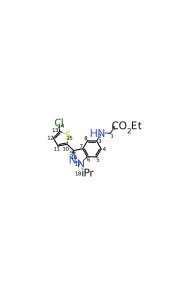 CCOC(=O)CNc1ccc2c(c1)c(-c1ccc(Cl)s1)nn2C(C)C